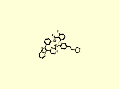 O=C(Nc1cccc(-c2nc3ccccn3c2-c2ccnc(Nc3ccc(CCN4CCCC4)cc3)n2)c1)c1c(F)cccc1F